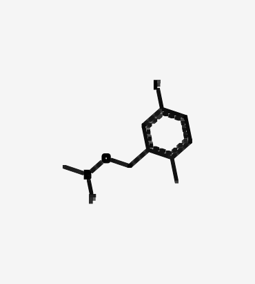 CB(F)OCc1cc(F)ccc1C